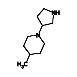 CC1CCN(C2CCNC2)CC1